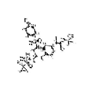 CC(C)(OC(=O)Nc1ccc2c(c1)N(S(=O)(=O)c1ccc(F)cc1)C[C@H](CNS(=O)(=O)C1(C)CC1)O2)C(F)(F)F